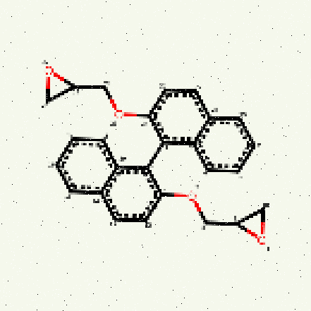 c1ccc2c(-c3c(OCC4CO4)ccc4ccccc34)c(OCC3CO3)ccc2c1